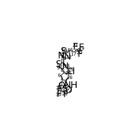 O=S(=O)(Nc1ccc(-c2csc(-c3nsc(CCC(F)(F)F)n3)n2)c(Cl)c1)C(F)(F)F